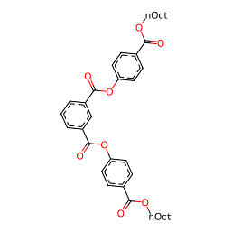 CCCCCCCCOC(=O)c1ccc(OC(=O)c2cccc(C(=O)Oc3ccc(C(=O)OCCCCCCCC)cc3)c2)cc1